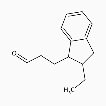 CCC1Cc2ccccc2C1CCC=O